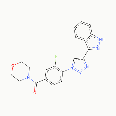 O=C(c1ccc(-n2cc(-c3n[nH]c4ccccc34)nn2)c(F)c1)N1CCOCC1